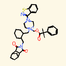 CC(C)(C(=O)OC[N+]1(CC2CCCCC2CN2C(=O)C3C4CCC(C4)C3C2=O)CCN(c2nsc3ccccc23)CC1)c1ccccc1